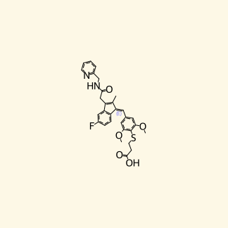 COc1cc(/C=C2/C(C)=C(CC(=O)NCc3ccccn3)c3cc(F)ccc32)cc(OC)c1SCCC(=O)O